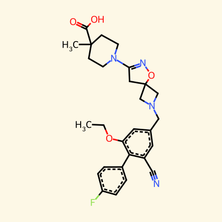 CCOc1cc(CN2CC3(CC(N4CCC(C)(C(=O)O)CC4)=NO3)C2)cc(C#N)c1-c1ccc(F)cc1